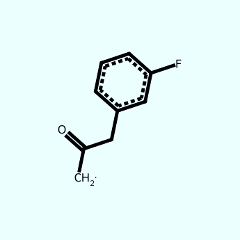 [CH2]C(=O)Cc1cccc(F)c1